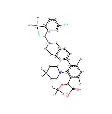 Cc1nc(C)c(C(OC(C)(C)C)C(=O)O)c(N2CCC(C)(C)CC2)c1-c1ccc2c(c1)CCN(Cc1cc(F)ccc1C(F)(F)F)C2